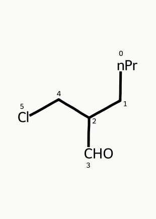 CCCCC(C=O)CCl